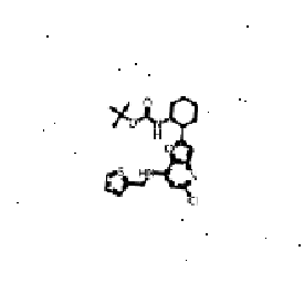 CC(C)(C)OC(=O)N[C@H]1CCCC[C@H]1c1cc2nc(Cl)cc(NCc3cccs3)c2o1